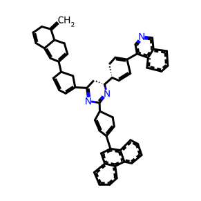 C=C1CC=CC2=CC(C3C=CC=C(C4=NC(C5C=CC(c6cc7ccccc7c7ccccc67)=CC5)=N[C@@H]([C@H]5C=CC(c6cncc7ccccc67)=CC5)C4)C3)=CCC12